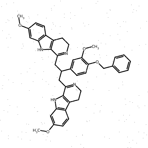 COc1ccc2c3c([nH]c2c1)C(CC(CC1=NCCc2c1[nH]c1cc(OC)ccc21)c1ccc(OCc2ccccc2)c(OC)c1)=NCC3